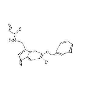 C=CC(=O)NCc1c[nH]c2cc(Cl)c(OCc3ccccc3)cc12